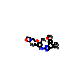 COc1ccc2c(c1)-c1nc(Nc3cc(C)c(OCCN4CCOCC4)c(C)c3)ncc1CC2(C)C